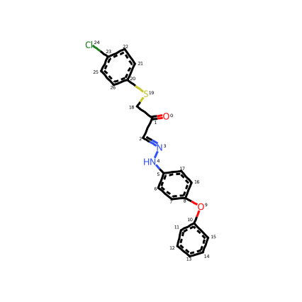 O=C(C=NNc1ccc(Oc2ccccc2)cc1)CSc1ccc(Cl)cc1